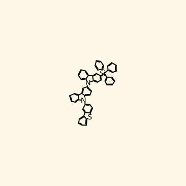 c1ccc([Si](c2ccccc2)(c2ccccc2)c2ccc3c(c2)c2ccccc2n3-c2ccc3c(c2)c2ccccc2n3-c2ccc3sc4ccccc4c3c2)cc1